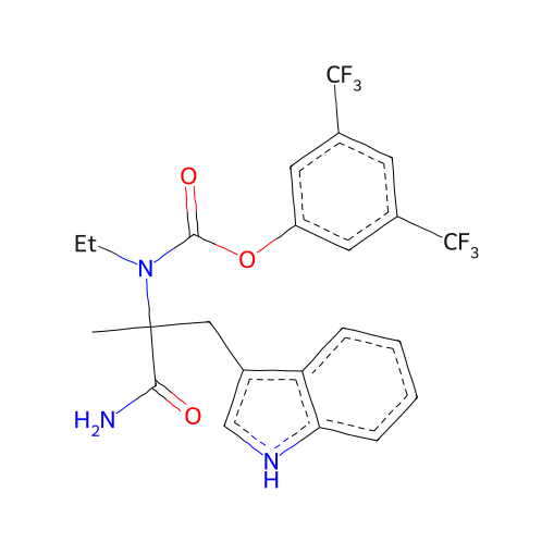 CCN(C(=O)Oc1cc(C(F)(F)F)cc(C(F)(F)F)c1)C(C)(Cc1c[nH]c2ccccc12)C(N)=O